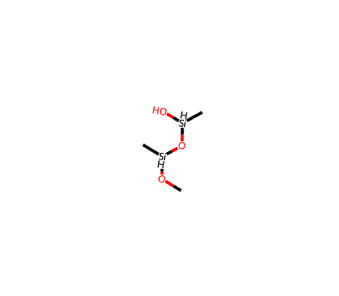 CO[SiH](C)O[SiH](C)O